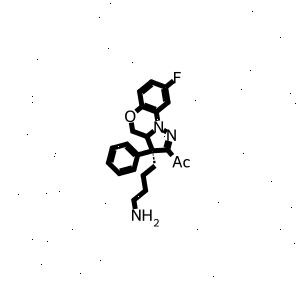 CC(=O)C1=NN2c3cc(F)ccc3OCC2[C@]1(CCCCN)c1ccccc1